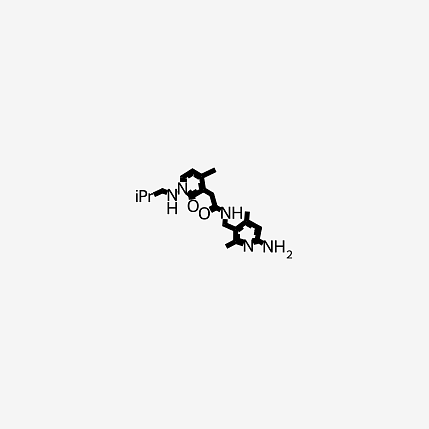 Cc1cc(N)nc(C)c1CNC(=O)Cc1c(C)ccn(NCC(C)C)c1=O